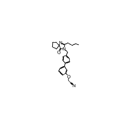 CCCCC1=NC2(CCCC2)C(=O)N1Cc1ccc(-c2cccc(OCC#N)c2)cc1